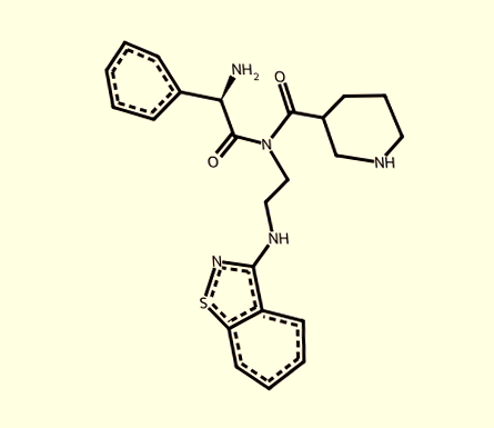 N[C@@H](C(=O)N(CCNc1nsc2ccccc12)C(=O)C1CCCNC1)c1ccccc1